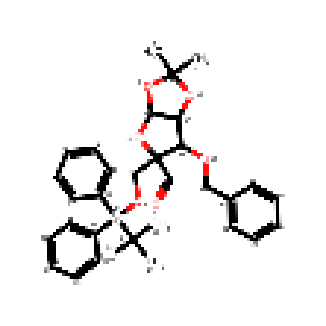 CC1(C)OC2OC(C=O)(CO[Si](c3ccccc3)(c3ccccc3)C(C)(C)C)C(OCc3ccccc3)C2O1